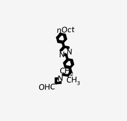 C=C([C@@H](C)Cc1ccc(-c2ncc(-c3ccc(CCCCCCCC)cc3)cn2)cc1)N1CC(C=O)C1